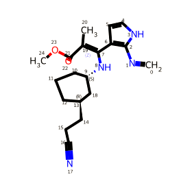 C=Nc1[nH]ccc1/C(N[C@H]1CCC[C@H](CCC#N)C1)=C(\C)C(=O)OC